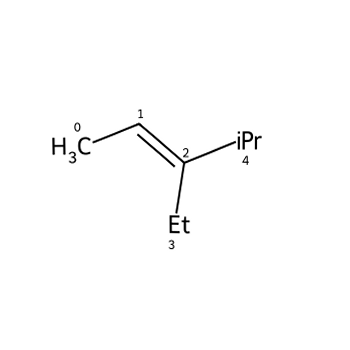 C/C=C(\CC)C(C)C